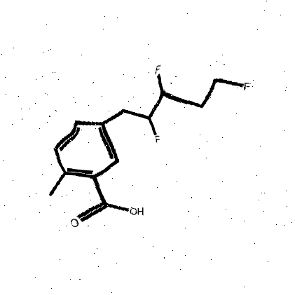 Cc1ccc(CC(F)C(F)CCF)cc1C(=O)O